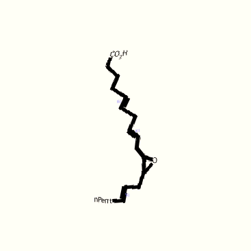 CCCCC/C=C/CC1OC1C/C=C/C/C=C/CCCC(=O)O